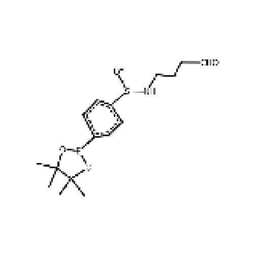 CC1(C)OB(c2ccc([S+]([O-])NCCCC=O)cc2)OC1(C)C